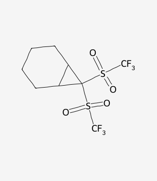 O=S(=O)(C(F)(F)F)C1(S(=O)(=O)C(F)(F)F)C2CCCCC21